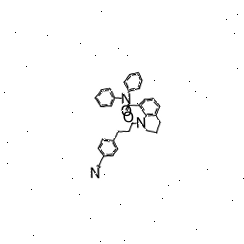 N#Cc1ccc(CCC(=O)N2CCCc3cccc(C(=O)N(c4ccccc4)c4ccccc4)c32)cc1